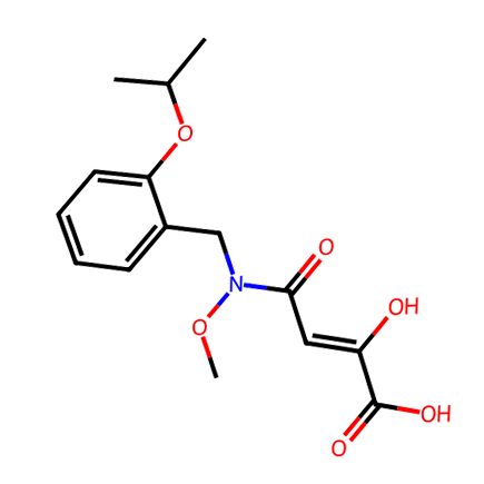 CON(Cc1ccccc1OC(C)C)C(=O)C=C(O)C(=O)O